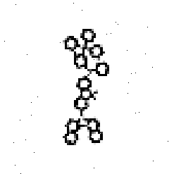 CC1(C)c2cc(N(c3ccccc3)c3ccc4c(c3)C(c3ccccc3)(c3ccccc3)c3ccccc3-4)ccc2-c2ccc(-n3c4ccc5ccccc5c4c4c5ccccc5ccc43)cc21